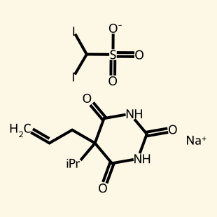 C=CCC1(C(C)C)C(=O)NC(=O)NC1=O.O=S(=O)([O-])C(I)I.[Na+]